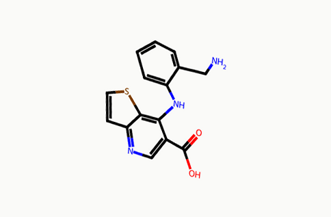 NCc1ccccc1Nc1c(C(=O)O)cnc2ccsc12